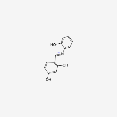 Oc1ccc(/C=N/c2ccccc2O)c(O)c1